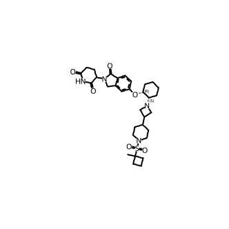 CC1(S(=O)(=O)N2CCC(C3CN([C@H]4CCCC[C@H]4Oc4ccc5c(c4)CN(C4CCC(=O)NC4=O)C5=O)C3)CC2)CCC1